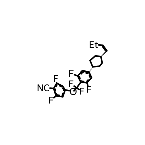 CC/C=C\[C@H]1CC[C@H](c2cc(F)c(C(F)(F)Oc3cc(F)c(C#N)c(F)c3)c(F)c2)CC1